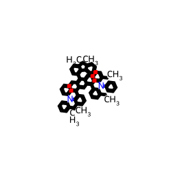 CCc1ccccc1N(c1ccccc1)c1c(CC)cccc1-c1cccc2c(-c3cccc4c3-c3ccccc3C4(C)C)c3cccc(-c4cccc5c4N(c4ccccc4)c4ccccc4C5(C)C)c3cc12